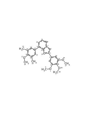 COc1cc(-c2cc3nccc(-c4cc(C)c(OC)c(C)c4)c3o2)cc(OC)c1OC